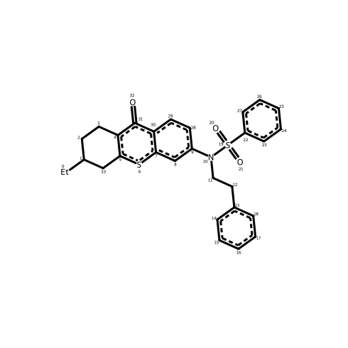 CCC1CCc2c(sc3cc(N(CCc4ccccc4)S(=O)(=O)c4ccccc4)ccc3c2=O)C1